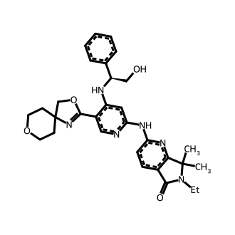 CCN1C(=O)c2ccc(Nc3cc(N[C@H](CO)c4ccccc4)c(C4=NC5(CCOCC5)CO4)cn3)nc2C1(C)C